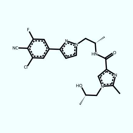 Cc1nc(C(=O)N[C@@H](C)Cn2ccc(-c3cc(F)c(C#N)c(Cl)c3)n2)cn1C[C@H](C)O